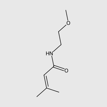 COCCNC(=O)C=C(C)C